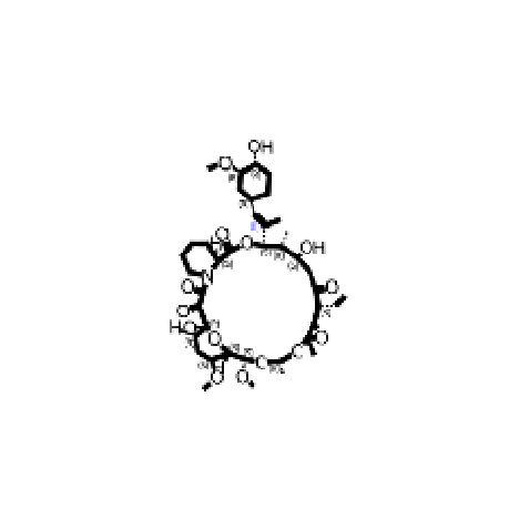 CC[C@H]1C(=O)C[C@H](O)[C@@H](C)[C@@H](/C(C)=C/[C@@H]2CC[C@@H](O)[C@H](OC)C2)OC(=O)[C@@H]2CCCCN2C(=O)C(=O)[C@]2(O)O[C@H]([C@@H](OC)C[C@@H](C)CC3(C)OC13)[C@@H](OC)C[C@H]2C